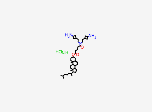 CC(C)CCCC(C)C1CCC2C3CC=C4CC(OC(=O)CCCC(=O)N(CCC5CC(N)C5)CCC5CC(N)C5)CCC4(C)C3CCC12C.Cl.Cl